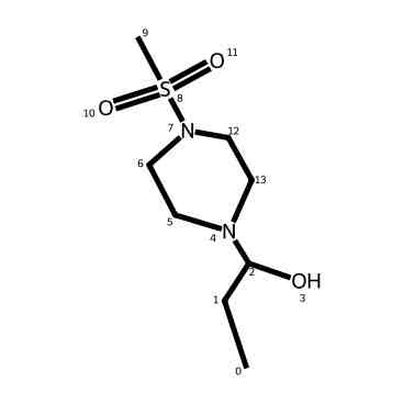 CCC(O)N1CCN(S(C)(=O)=O)CC1